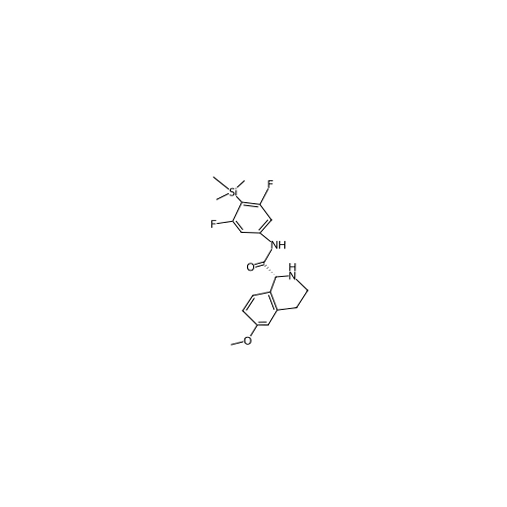 COc1ccc2c(c1)CCN[C@H]2C(=O)Nc1cc(F)c([Si](C)(C)C)c(F)c1